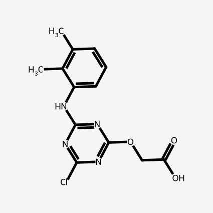 Cc1cccc(Nc2nc(Cl)nc(OCC(=O)O)n2)c1C